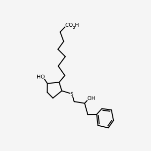 O=C(O)CCCCCCC1C(O)CCC1SCC(O)Cc1ccccc1